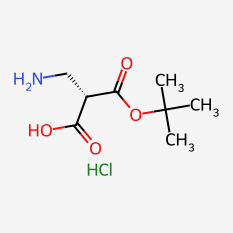 CC(C)(C)OC(=O)[C@@H](CN)C(=O)O.Cl